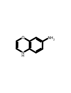 Nc1ccc2c(c1)OC=CN2